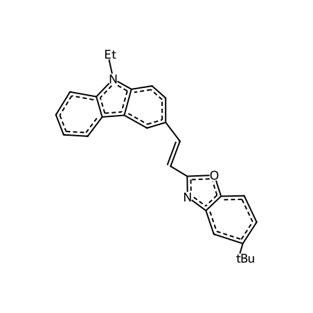 CCn1c2ccccc2c2cc(C=Cc3nc4cc(C(C)(C)C)ccc4o3)ccc21